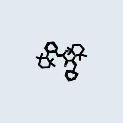 CC1(C)CCCC(C)(C)N1C(=Cc1ccccc1)C(=O)C(N)=Cc1ccccc1N1C(C)(C)CCCC1(C)C